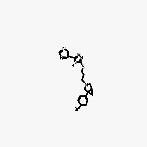 Cn1c(SCCCN2CC3CC3(c3ccc(Br)cc3)C2)nnc1-c1cncnc1